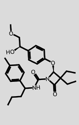 CCCC(NC(=O)N1C(=O)C(CC)(CC)[C@@H]1Oc1ccc([C@@H](O)COC)cc1)c1ccc(C)cc1